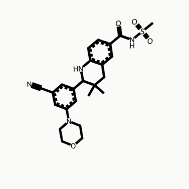 CC1(C)Cc2cc(C(=O)NS(C)(=O)=O)ccc2NC1c1cc(C#N)cc(N2CCOCC2)c1